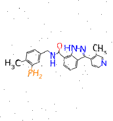 Cc1ccc(CNC(=O)c2cccc3c(-c4ccncc4C)n[nH]c23)cc1P